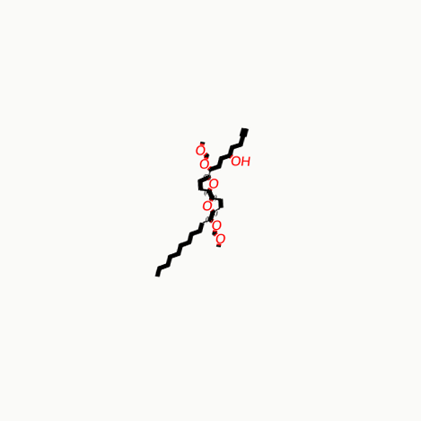 C#CCCC(O)CCC(OCOC)[C@H]1CC[C@H]([C@H]2CC[C@H]([C@@H](CCCCCCCCCC)OCOC)O2)O1